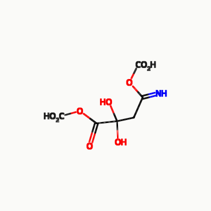 N=C(CC(O)(O)C(=O)OC(=O)O)OC(=O)O